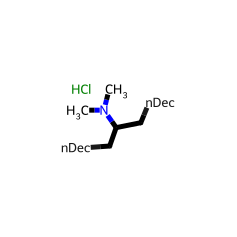 CCCCCCCCCCCC(CCCCCCCCCCC)N(C)C.Cl